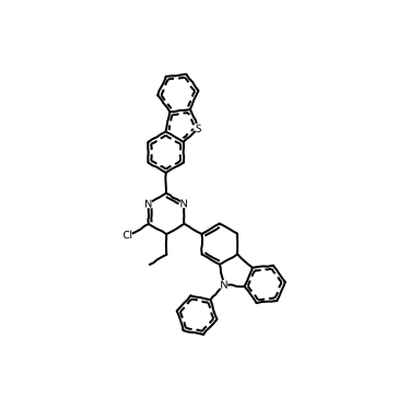 CCC1C(Cl)=NC(c2ccc3c(c2)sc2ccccc23)=NC1C1=CCC2C(=C1)N(c1ccccc1)c1ccccc12